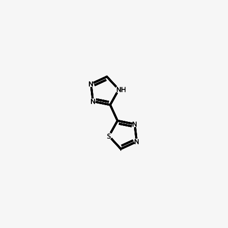 [c]1nnc(-c2nnc[nH]2)s1